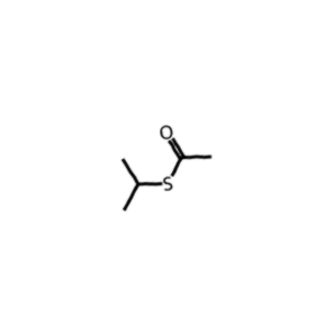 CC(=O)SC(C)C